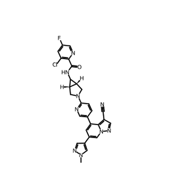 Cn1cc(-c2cc(-c3ccc(N4C[C@@H]5C(NC(=O)c6ncc(F)cc6Cl)[C@@H]5C4)nc3)c3c(C#N)cnn3c2)cn1